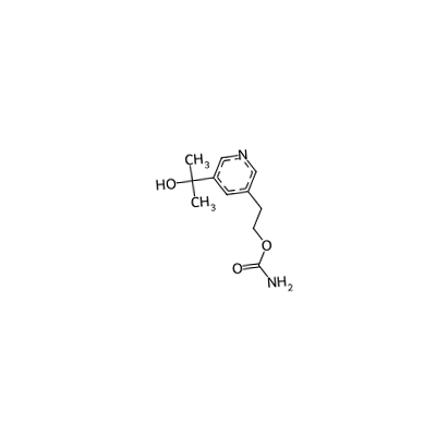 CC(C)(O)c1cncc(CCOC(N)=O)c1